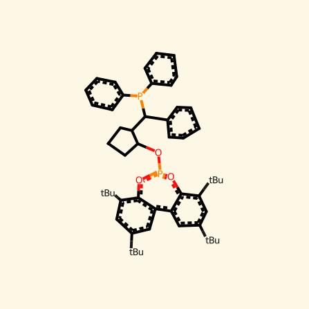 CC(C)(C)c1cc(C(C)(C)C)c2op(OC3CCCC3C(c3ccccc3)P(c3ccccc3)c3ccccc3)oc3c(C(C)(C)C)cc(C(C)(C)C)cc3c2c1